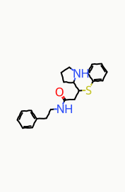 O=C(CC(Sc1ccccc1)C1CCCN1)NCCc1ccccc1